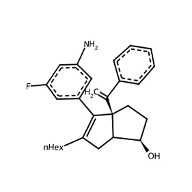 C=C(c1ccccc1)[C@@]12CC[C@@H](O)C1CC(CCCCCC)=C2c1cc(N)cc(F)c1